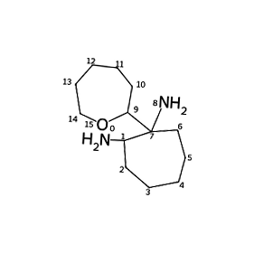 NC1CCCCCC1(N)C1CCCCCO1